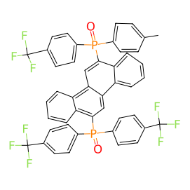 Cc1ccc(P(=O)(c2ccc(C(F)(F)F)cc2)c2cc3c4ccccc4c(P(=O)(c4ccc(C(F)(F)F)cc4)c4ccc(C(F)(F)F)cc4)cc3c3ccccc23)cc1